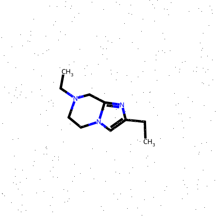 CCc1cn2c(n1)CN(CC)CC2